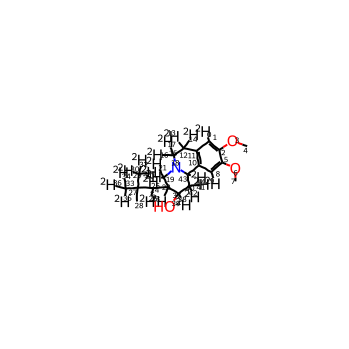 [2H]c1c(OC)c(OC)c([2H])c2c1C([2H])([2H])C([2H])([2H])N1C([2H])([2H])C([2H])(C([2H])([2H])C(C)(C([2H])([2H])[2H])C([2H])([2H])[2H])C([2H])(O)C([2H])([2H])C21[2H]